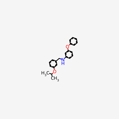 CC(C)Oc1cccc(CNc2cccc(Oc3ccccc3)c2)c1